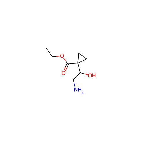 CCOC(=O)C1(C(O)CN)CC1